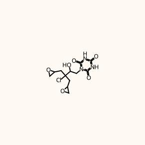 O=c1[nH]c(=O)n(CC(O)C(Cl)(CC2CO2)CC2CO2)c(=O)[nH]1